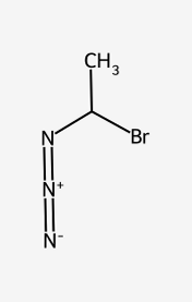 CC(Br)N=[N+]=[N-]